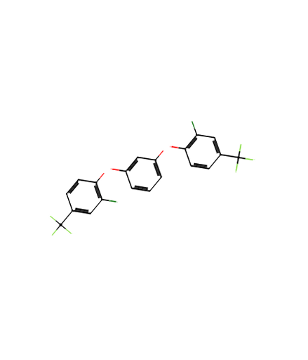 FC(F)(F)c1ccc(Oc2cccc(Oc3ccc(C(F)(F)F)cc3Cl)c2)c(Cl)c1